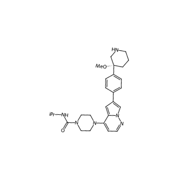 CO[C@@]1(c2ccc(-c3cc4c(N5CCN(C(=O)NC(C)C)CC5)ccnn4c3)cc2)CCCNC1